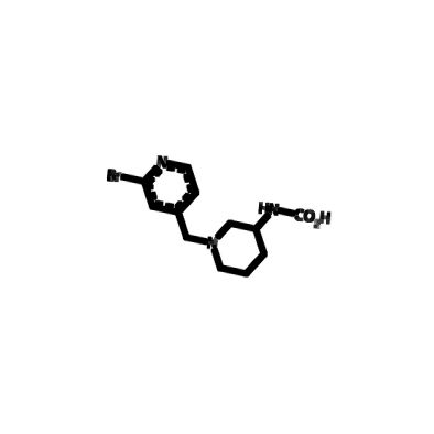 O=C(O)NC1CCCN(Cc2ccnc(Br)c2)C1